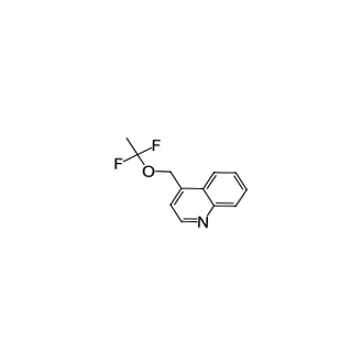 CC(F)(F)OCc1ccnc2ccccc12